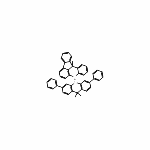 CC1(C)c2ccc(-c3ccccc3)cc2N(B2c3ccccc3C3(C)c4ccccc4-c4cccc2c43)c2cc(-c3ccccc3)ccc21